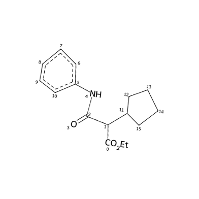 CCOC(=O)C(C(=O)Nc1ccccc1)C1CCCC1